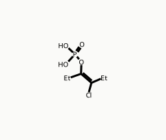 CCC(Cl)=C(CC)OP(=O)(O)O